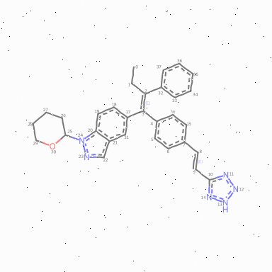 CC/C(=C(/c1ccc(/C=C/c2nn[nH]n2)cc1)c1ccc2c(cnn2C2CCCCO2)c1)c1ccccc1